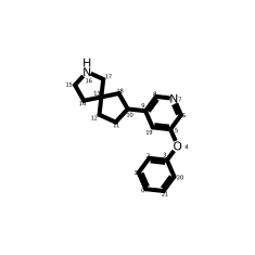 c1ccc(Oc2cncc(C3CCC4(CCNC4)C3)c2)cc1